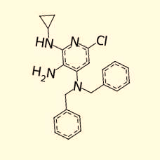 Nc1c(N(Cc2ccccc2)Cc2ccccc2)cc(Cl)nc1NC1CC1